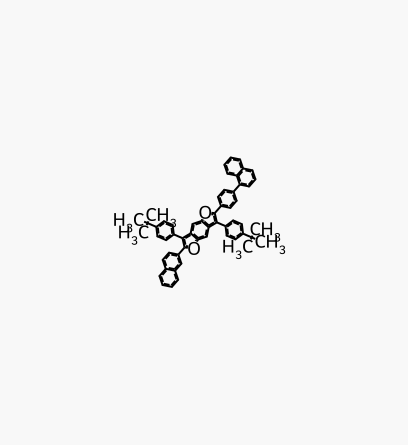 CC(C)(C)c1ccc(-c2c(-c3ccc(-c4cccc5ccccc45)cc3)oc3cc4c(-c5ccc(C(C)(C)C)cc5)c(-c5ccc6ccccc6c5)oc4cc23)cc1